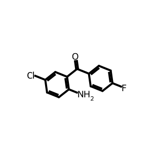 Nc1ccc(Cl)cc1C(=O)c1ccc(F)cc1